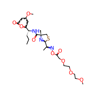 CCC[C@@H](NC(=O)[C@]1(C)CSC(/C(C)=N/OC(=O)COCCOCCOC)=N1)c1cc(OC)cc(=O)o1